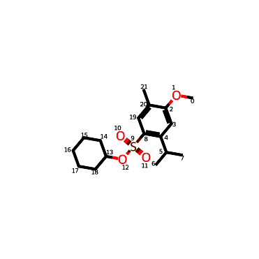 COc1cc(C(C)C)c(S(=O)(=O)OC2CCCCC2)cc1C